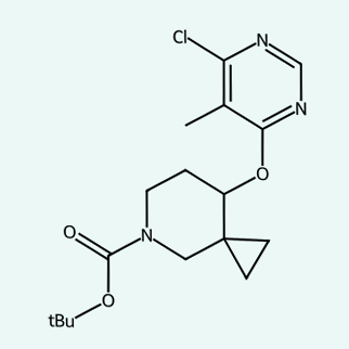 Cc1c(Cl)ncnc1OC1CCN(C(=O)OC(C)(C)C)CC12CC2